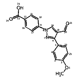 COc1ccc(-c2nn(-c3ccc(C(=O)O)cc3)cc2C=O)cc1